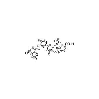 O=C(O)c1ccc2nc(CN3CCC(c4ncc(F)c(OCc5ccc(Cl)c6cc(F)oc56)n4)=CC3=O)n(C[C@@H]3CCO3)c2c1